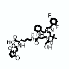 CC(C)(C)[C@H](c1nc(-c2cc(F)ccc2F)cn1Cc1ccccc1)N(CC[C@H](N)C(=O)NCCCC[C@H](NC(=O)CN1C(=O)C=CC1=O)C(=O)O)C(=O)CO